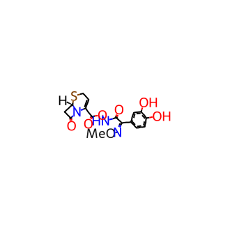 CON=C(C(=O)NOC(=O)C1=CCS[C@H]2CC(=O)N12)c1ccc(O)c(O)c1